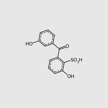 O=C(c1[c]ccc(O)c1)c1[c]ccc(O)c1S(=O)(=O)O